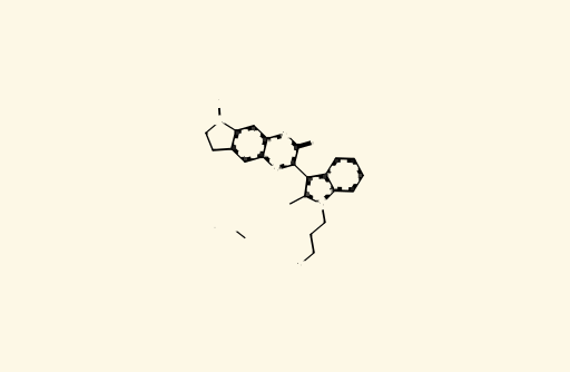 CC(=O)N1CCc2cc3nc(-c4c(C)n(CCCN)c5ccccc45)c(=O)[nH]c3cc21.CC(=O)O